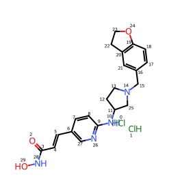 Cl.Cl.O=C(/C=C/c1ccc(NC2CCN(Cc3ccc4c(c3)CCO4)C2)nc1)NO